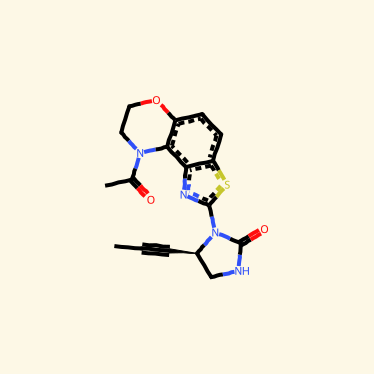 CC#C[C@@H]1CNC(=O)N1c1nc2c3c(ccc2s1)OCCN3C(C)=O